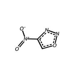 O=[N+]([O-])c1conn1